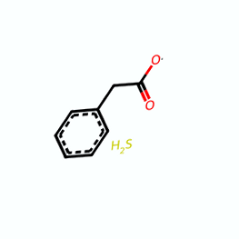 S.[O]C(=O)Cc1ccccc1